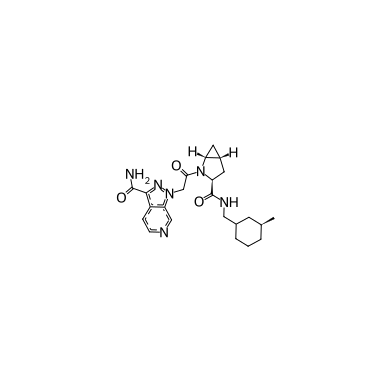 C[C@H]1CCCC(CNC(=O)[C@@H]2C[C@H]3C[C@H]3N2C(=O)Cn2nc(C(N)=O)c3ccncc32)C1